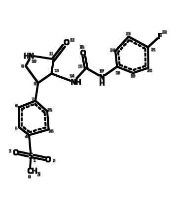 CS(=O)(=O)c1ccc(C2CNC(=O)C2NC(=O)Nc2ccc(F)cc2)cc1